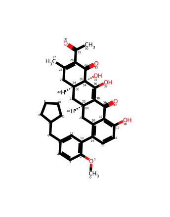 COc1ccc(CC2CCCC2)cc1-c1ccc(O)c2c1C[C@H]1C[C@H]3CC(C)=C(C(C)=O)C(=O)[C@@]3(O)C(O)=C1C2=O